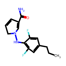 CCCc1cc(F)c(NN2C=C(C(N)=O)C=CC2)c(F)c1